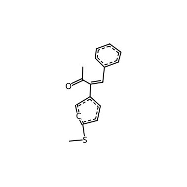 CSc1ccc(C(=Cc2ccccc2)C(C)=O)cc1